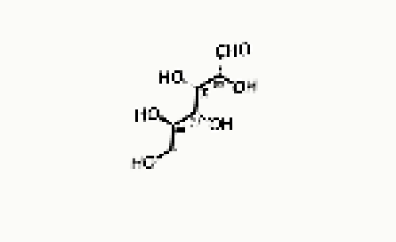 O=C[C@H](O)[C@@H](O)[C@H](O)[C@H](O)[CH]O